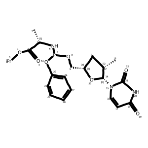 CC(C)OC(=O)[C@H](C)NP(OC[C@@H]1C[C@H](C)[C@H](n2ccc(=O)[nH]c2=O)O1)Oc1ccccc1